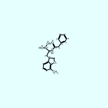 Cc1cccc2c1OC[C@@H]2CC(NC(=O)Cc1ccccc1)B(O)O